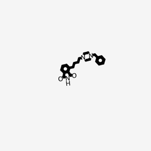 O=C1NC(=O)c2c(CCCCN3CCN(Cc4ccccc4)CC3)cccc21